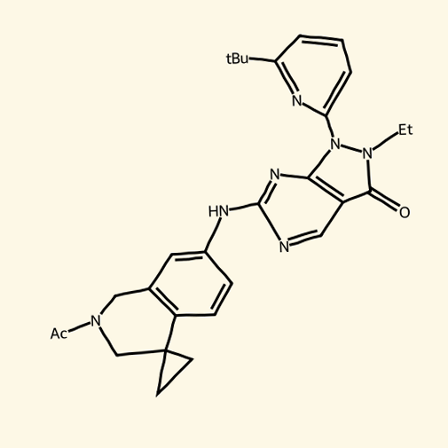 CCn1c(=O)c2cnc(Nc3ccc4c(c3)CN(C(C)=O)CC43CC3)nc2n1-c1cccc(C(C)(C)C)n1